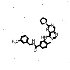 Cc1ccc(C(=O)NCc2cccc(C(F)(F)F)c2)cc1Nc1ncnc2cnc(N3CCCC3)nc12